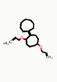 C=CCOC1CCCC(OCC=C)C(C2CCCCCCC2)CC1